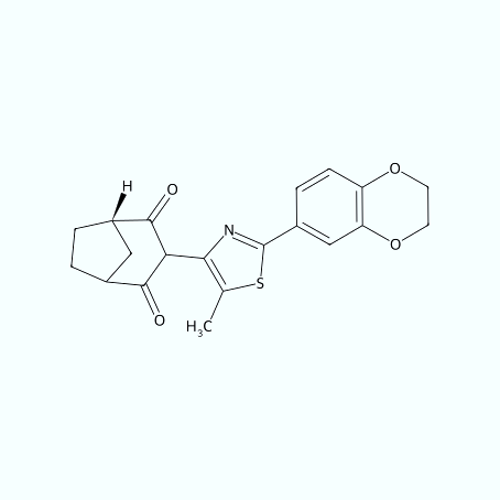 Cc1sc(-c2ccc3c(c2)OCCO3)nc1C1C(=O)C2CC[C@@H](C2)C1=O